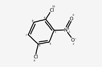 O=[N+]([O-])c1cc(Cl)c[c]c1Cl